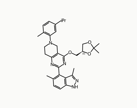 Cc1ccc(C(C)C)cc1N1CCc2nc(-c3c(C)ccc4[nH]nc(C)c34)nc(OC[C@H]3COC(C)(C)O3)c2C1